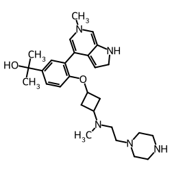 CN1C=C2NCC=C2C(c2cc(C(C)(C)O)ccc2OC2CC(N(C)CCN3CCNCC3)C2)=C1